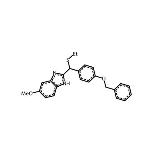 CCSC(c1ccc(OCc2ccccc2)cc1)c1nc2cc(OC)ccc2[nH]1